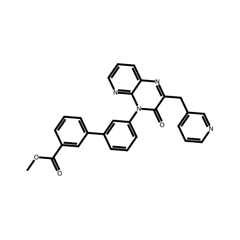 COC(=O)c1cccc(-c2cccc(-n3c(=O)c(Cc4cccnc4)nc4cccnc43)c2)c1